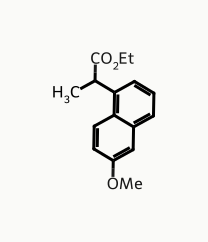 CCOC(=O)C(C)c1cccc2cc(OC)ccc12